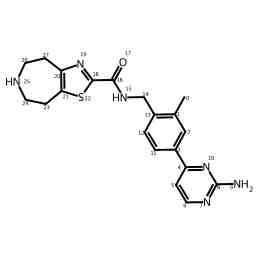 Cc1cc(-c2ccnc(N)n2)ccc1CNC(=O)c1nc2c(s1)CCNCC2